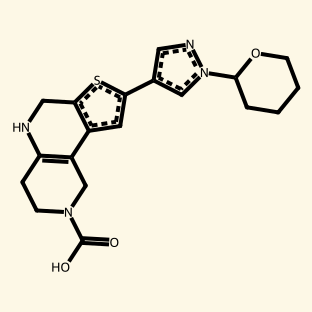 O=C(O)N1CCC2=C(C1)c1cc(-c3cnn(C4CCCCO4)c3)sc1CN2